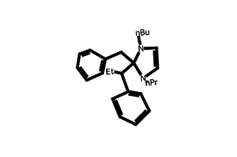 CCCCN1C=CN(CCC)C1(Cc1ccccc1)C(CC)c1ccccc1